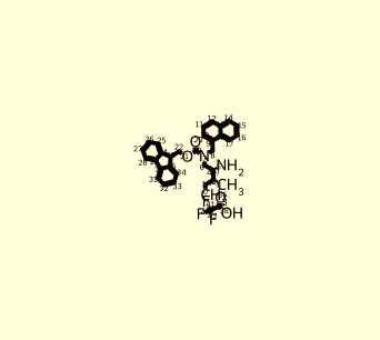 CC[C@H](C)[C@H](N)CN(Cc1cccc2ccccc12)C(=O)OCC1c2ccccc2-c2ccccc21.O=C(O)C(F)(F)F